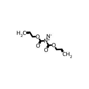 C=CCOC(=O)[N+](=[N-])C(=O)OCC=C